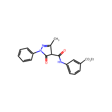 CCOC(=O)c1cccc(NC(=O)C2C(=O)N(c3ccccc3)N=C2C)c1